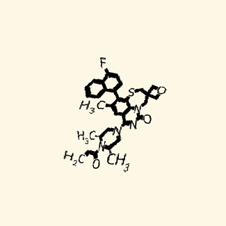 C=CC(=O)N1[C@H](C)CN(c2nc(=O)n3c4c(c(-c5ccc(F)c6ccccc56)c(C)cc24)SCC2(COC2)C3)C[C@@H]1C